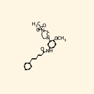 COc1ccc(NC(=O)C=CC=Cc2ccccc2)cc1N1CCN(S(C)(=O)=O)CC1